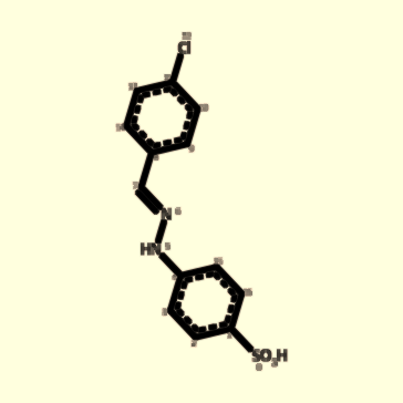 O=S(=O)(O)c1ccc(NN=Cc2ccc(Cl)cc2)cc1